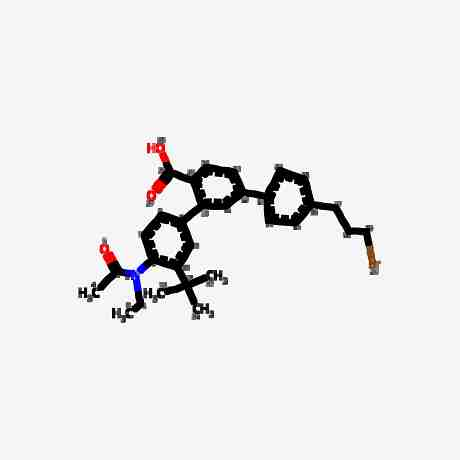 CCN(C(C)=O)c1ccc(-c2cc(-c3ccc(CCCBr)cc3)ccc2C(=O)O)cc1C(C)(C)C